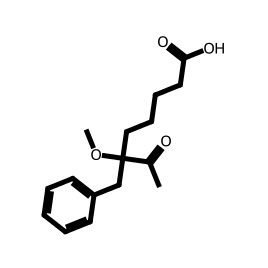 COC(CCCCC(=O)O)(Cc1ccccc1)C(C)=O